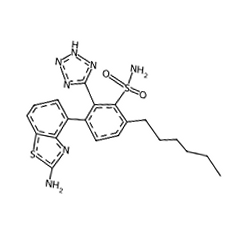 CCCCCCc1ccc(-c2cccc3sc(N)nc23)c(-c2nn[nH]n2)c1S(N)(=O)=O